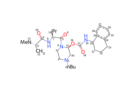 CCCCN1CCN(C(=O)[C@@H](NC(=O)[C@H](C)NC)C(C)C)[C@@H](OC(=O)NC2CCCc3ccccc32)C1